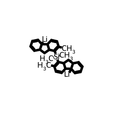 [Li][C]12C=CC=CC1CC1C([Si](C)(C)C3=C(C)C=CC4C3CC3C=CC=C[C]34[Li])=C(C)C=CC12